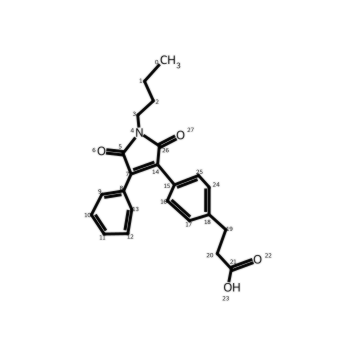 CCCCN1C(=O)C(c2ccccc2)=C(c2ccc(CCC(=O)O)cc2)C1=O